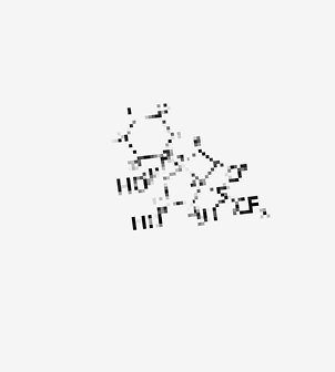 O=S(=O)(C(F)(F)F)[C@@]12CC[C@]13C1(CCCCC1)[C@]3(O)[C@@H](O)C2